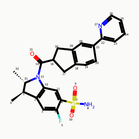 C[C@@H]1c2cc(F)c(S(N)(=O)=O)cc2N(C(=O)C2Cc3ccc(-c4ccccn4)cc3C2)[C@H]1C